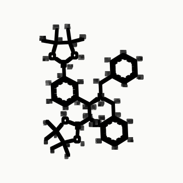 CC[C@@H](B1OC(C)(C)C(C)(C)O1)[C@@H](c1cccc(B2OC(C)(C)C(C)(C)O2)c1)N(Cc1ccccc1)Cc1ccccc1